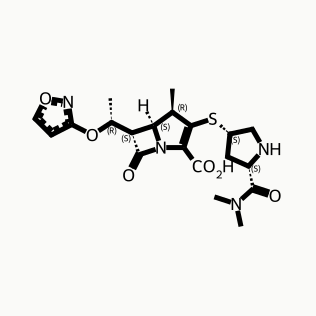 C[C@@H](Oc1ccon1)[C@H]1C(=O)N2C(C(=O)O)=C(S[C@@H]3CN[C@H](C(=O)N(C)C)C3)[C@H](C)[C@H]12